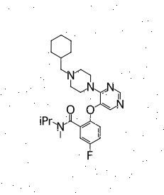 CC(C)N(C)C(=O)c1cc(F)ccc1Oc1cncnc1N1CCN(CC2CCCCC2)CC1